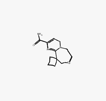 NC(=O)C1=CCN2CCOCC3(CCC3)C2=N1